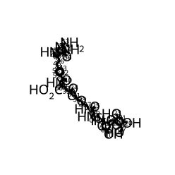 CC(C)N[C@H](CSCC1OCC(O)CC1O[C@@H]1OC(CO)C(O)CC1O)C(=O)NCCOCCOC(=O)CC[C@H](NC(=O)c1ccc(CCc2c[nH]c3nc(N)[nH]c(=O)c23)cc1)C(=O)O